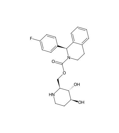 O=C(OC[C@@H]1NCC[C@H](O)[C@H]1O)N1CCc2ccccc2[C@@H]1c1ccc(F)cc1